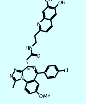 COc1ccc2c(c1)C(c1ccc(Cl)cc1)=N[C@@H](CC(=O)NCCc1ccc3cc(O)c(O)cc3n1)c1nnc(C)n1-2